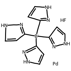 F.[Pd].c1cc([B-](c2cc[nH]n2)(c2cc[nH]n2)c2cc[nH]n2)n[nH]1